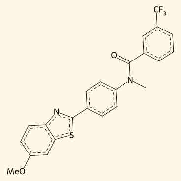 COc1ccc2nc(-c3ccc(N(C)C(=O)c4cccc(C(F)(F)F)c4)cc3)sc2c1